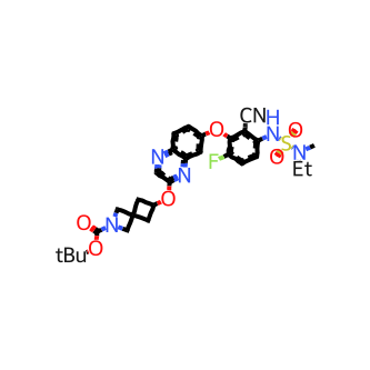 CCN(C)S(=O)(=O)Nc1ccc(F)c(Oc2ccc3ncc(OC4CC5(C4)CN(C(=O)OC(C)(C)C)C5)nc3c2)c1C#N